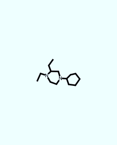 CCC1CN(C2CCCCC2)CCN1CC